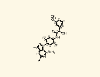 Cc1nc(N)c2c(n1)c(C)nn2-c1cc(F)c(NC(=O)C(O)c2cccc(OC(F)(F)F)c2)cc1F